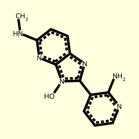 CNc1ccc2nc(-c3cccnc3N)n(O)c2n1